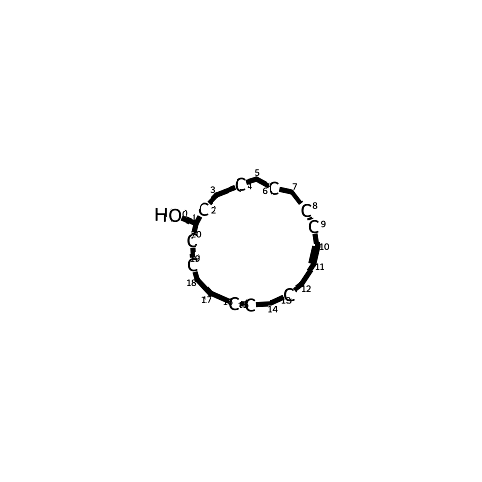 OC1CCCCCCCC/C=C\CCCCCCCCC1